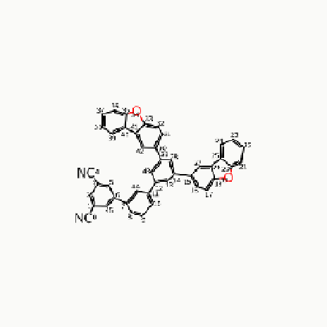 N#Cc1cc(C#N)cc(-c2cccc(-c3cc(-c4ccc5oc6ccccc6c5c4)cc(-c4ccc5oc6ccccc6c5c4)c3)c2)c1